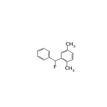 Cc1ccc(C)c(C(F)c2ccccc2)c1